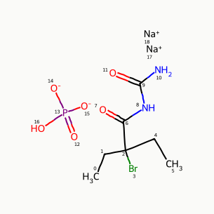 CCC(Br)(CC)C(=O)NC(N)=O.O=P([O-])([O-])O.[Na+].[Na+]